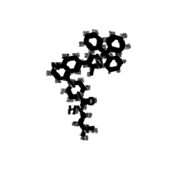 Cc1nn(C(c2ccccc2)(c2ccccc2)c2ccccc2)cc1-c1ccc2nccc(N3CCN(C(=O)NCCN(C)C)CC3)c2c1